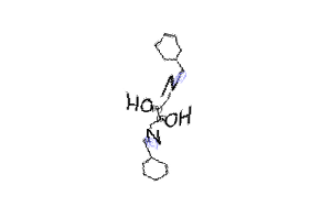 O[C@H](C/N=C/C1CCCCC1)[C@@H](O)C/N=C/C1CCCCC1